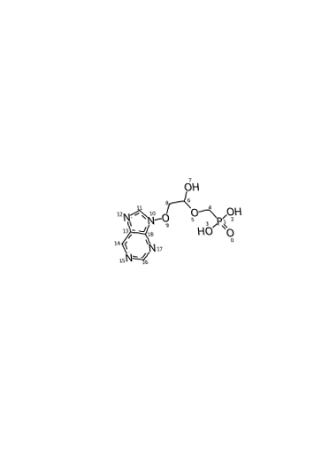 O=P(O)(O)COC(O)COn1cnc2cncnc21